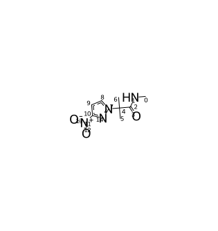 CNC(=O)C(C)(C)n1ccc([N+](=O)[O-])n1